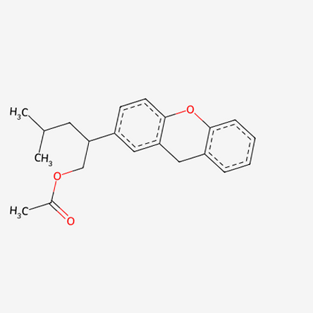 CC(=O)OCC(CC(C)C)c1ccc2c(c1)Cc1ccccc1O2